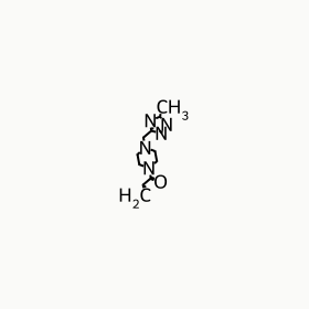 C=CC(=O)N1CCN(CC2=NC(C)N=N2)CC1